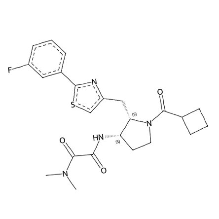 CN(C)C(=O)C(=O)N[C@H]1CCN(C(=O)C2CCC2)[C@H]1Cc1csc(-c2cccc(F)c2)n1